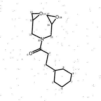 O=C(CCC1CCCCC1)N(CC1CO1)CC1CO1